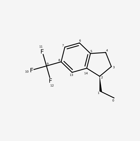 CC[C@@H]1CCc2ccc(C(F)(F)F)cc21